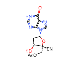 CC(=O)OC[C@@]1(C#N)O[C@H](n2cnc3c(=O)[nH]cnc32)C[C@@H]1O